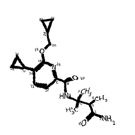 CC(C(N)=O)C(C)(C)NC(=O)c1ccc(C2CC2)c(OCC2CC2)n1